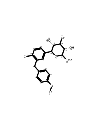 CCOc1ccc(Cc2cc(C3OC(SC)[C@@H](O)C(O)[C@H]3O)ccc2Cl)cc1